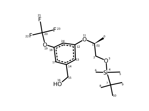 C[C@@H](CO[Si](C)(C)C(C)(C)C)Oc1cc(CO)cc(OC(F)(F)F)c1